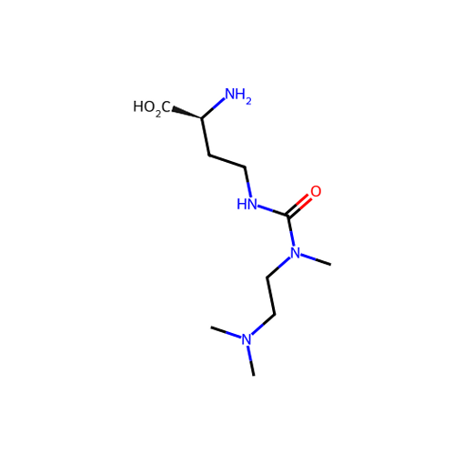 CN(C)CCN(C)C(=O)NCC[C@H](N)C(=O)O